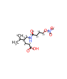 CC(C)[C@H](CCC(=O)O)CNC(=O)CCCO[N+](=O)[O-]